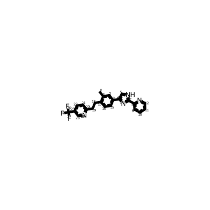 Cc1cc(-c2c[nH]c(-c3ccccn3)n2)ccc1CCc1ccc(C(F)(F)F)cn1